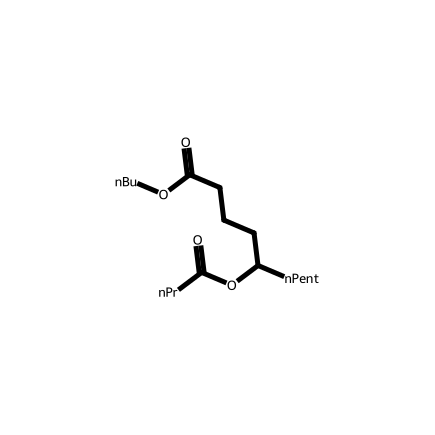 CCCCCC(CCCC(=O)OCCCC)OC(=O)CCC